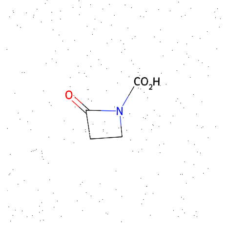 O=C(O)N1CCC1=O